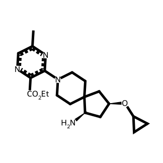 CCOC(=O)c1ncc(C)nc1N1CCC2(CC1)C[C@@H](OC1CC1)C[C@H]2N